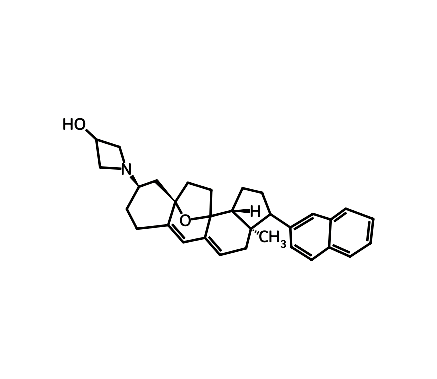 C[C@]12CC=C3C=C4CC[C@@H](N5CC(O)C5)C[C@]45CCC3(O5)[C@@H]1CCC2c1ccc2ccccc2c1